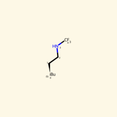 CC[C@H](C)CCNC(F)(F)F